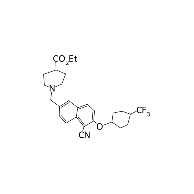 CCOC(=O)C1CCN(Cc2ccc3c(C#N)c(OC4CCC(C(F)(F)F)CC4)ccc3c2)CC1